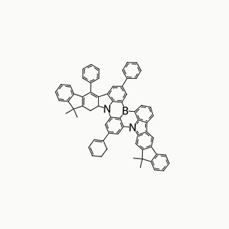 CC1(C)C2=C(C(c3ccccc3)=C3c4cc(-c5ccccc5)cc5c4N(c4cc(C6=CC=CCC6)cc6c4B5c4cccc5c7cc8c(cc7n-6c45)C(C)(C)c4ccccc4-8)C3C2)c2ccccc21